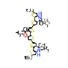 CC(C)(C)c1cc2c(s1)-c1sc(-c3cc4c(s3)-c3sc(-c5cc6c(s5)-c5sc(C(C)(C)C)cc5NC6(C)C)cc3C(C)(C)O4)cc1C(C)(C)N2